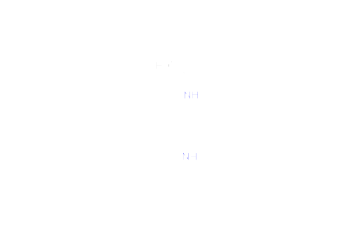 C/C=C\CNCCCCCN